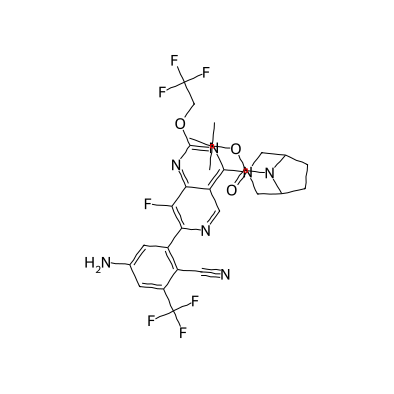 CC(C)(C)OC(=O)N1C2CCC1CN(c1nc(OCC(F)(F)F)nc3c(F)c(-c4cc(N)cc(C(F)(F)F)c4C#N)ncc13)C2